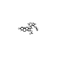 CC(=O)O[C@H]1C[C@@]2(C)C3CCC4[C@H](C)C(=O)C=C[C@@]45C[C@@]35CC[C@]2(C)[C@H]1[C@H](C)[C@@H](OC(C)=O)C1=C(CN=[N+]=[N-])C(C)CO1